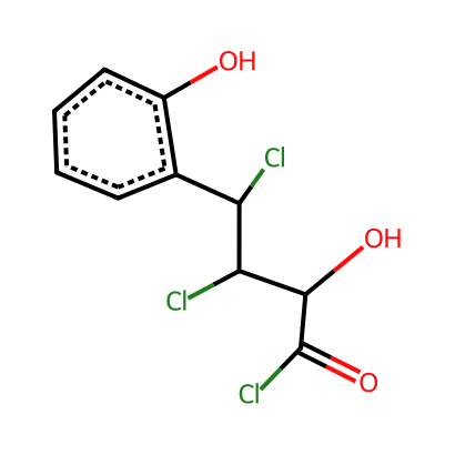 O=C(Cl)C(O)C(Cl)C(Cl)c1ccccc1O